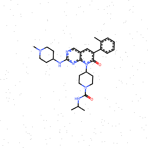 Cc1ccccc1-c1cc2cnc(NC3CCN(C)CC3)nc2n(C2CCN(C(=O)NC(C)C)CC2)c1=O